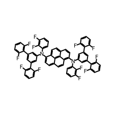 Fc1cccc(N(c2cc(-c3c(F)cccc3F)cc(-c3c(F)cccc3F)c2)c2ccc3ccc4c(N(c5cc(-c6c(F)cccc6F)cc(-c6c(F)cccc6F)c5)c5cccc(F)c5F)ccc5ccc2c3c54)c1F